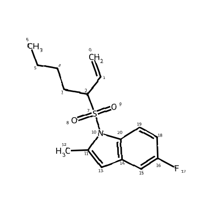 C=CC(CCCC)S(=O)(=O)n1c(C)cc2cc(F)ccc21